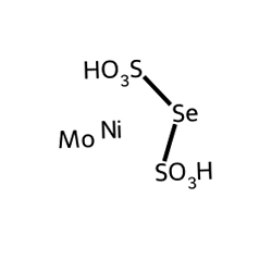 O=S(=O)(O)[Se]S(=O)(=O)O.[Mo].[Ni]